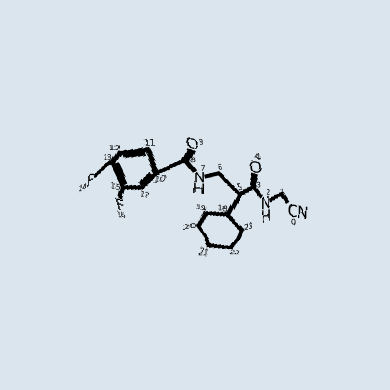 N#CCNC(=O)C(CNC(=O)c1ccc(F)c(F)c1)C1CCCCC1